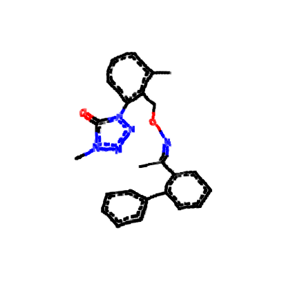 CC(=NOCc1c(C)cccc1-n1nnn(C)c1=O)c1ccccc1-c1ccccc1